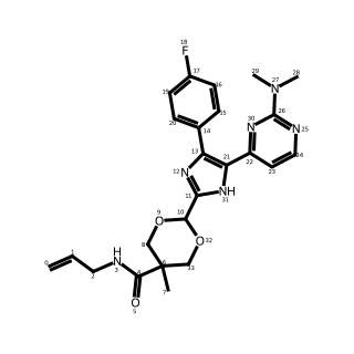 C=CCNC(=O)C1(C)COC(c2nc(-c3ccc(F)cc3)c(-c3ccnc(N(C)C)n3)[nH]2)OC1